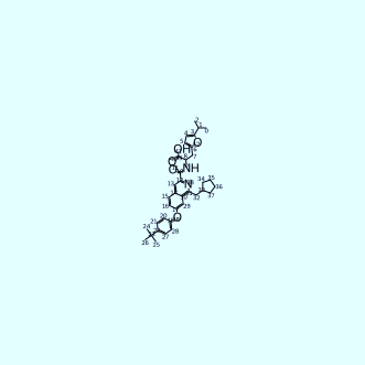 CC(C)c1ccc(CC(NC(=O)c2cc3ccc(Oc4ccc(C(C)(C)C)cc4)cc3c(CC3CCCC3)n2)C(=O)O)o1